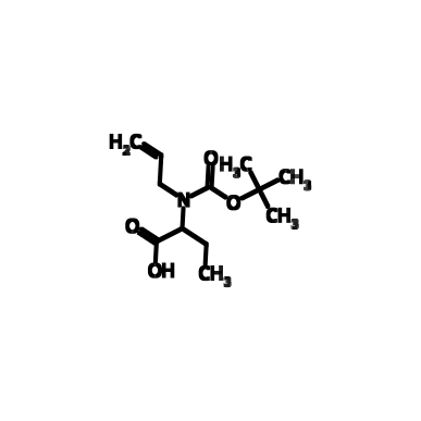 C=CCN(C(=O)OC(C)(C)C)C(CC)C(=O)O